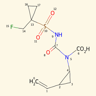 C=CC1CC1N(C(=O)O)C(=O)NS(=O)(=O)C1(CF)CC1